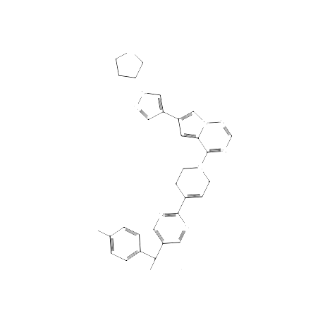 C[C@](O)(c1ccc(F)cc1)c1cnc(C2=CCN(c3ncnn4cc(-c5cnn([C@@H]6CCOC6)c5)cc34)CC2)nc1